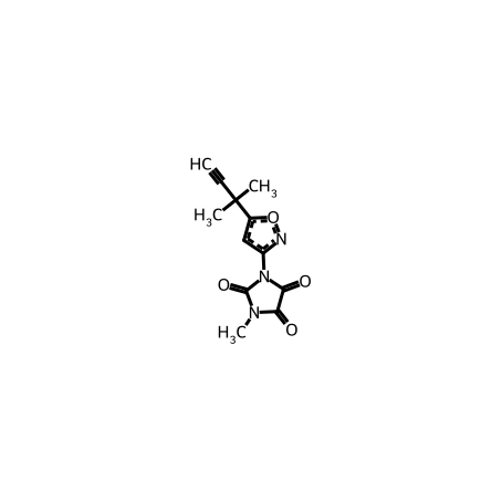 C#CC(C)(C)c1cc(N2C(=O)C(=O)N(C)C2=O)no1